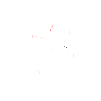 Cc1cccc([C@H]2O[C@H](CO)[C@@H](O)[C@H](O)[C@@H]2O)c1